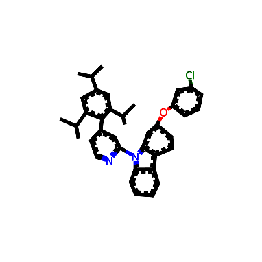 CC(C)c1cc(C(C)C)c(-c2ccnc(-n3c4ccccc4c4ccc(Oc5cccc(Cl)c5)cc43)c2)c(C(C)C)c1